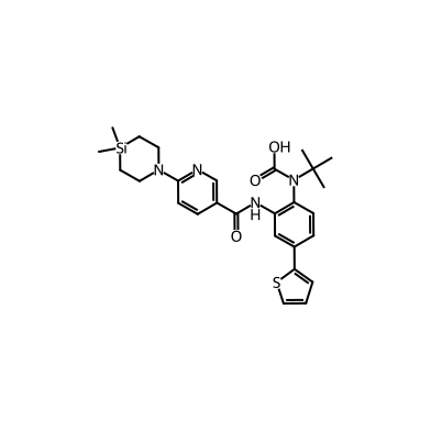 CC(C)(C)N(C(=O)O)c1ccc(-c2cccs2)cc1NC(=O)c1ccc(N2CC[Si](C)(C)CC2)nc1